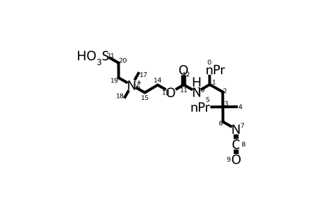 CCCC(CC(C)(CCC)CN=C=O)NC(=O)OCC[N+](C)(C)CCS(=O)(=O)O